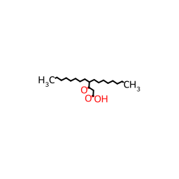 CCCCCCCCC(CCCCCCCC)C(=O)CC(=O)O